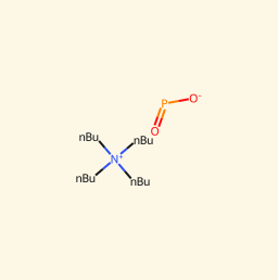 CCCC[N+](CCCC)(CCCC)CCCC.O=P[O-]